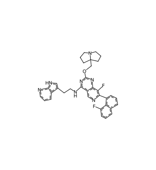 Fc1c(-c2cccc3cccc(F)c23)ncc2c(NCCc3c[nH]c4ncccc34)nc(OCC34CCCN3CCC4)nc12